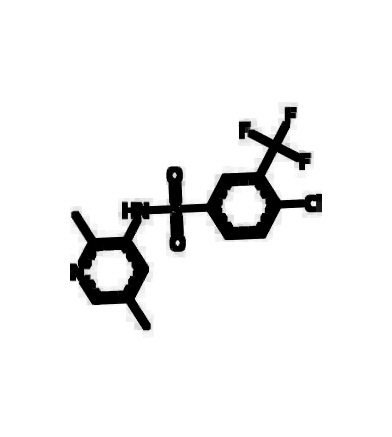 Cc1cnc(C)c(NS(=O)(=O)c2ccc(Cl)c(C(F)(F)F)c2)c1